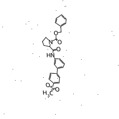 CS(=O)(=O)c1ccc(-c2cccc(NC(=O)C3CCCN3C(=O)OCc3ccccc3)c2)cc1